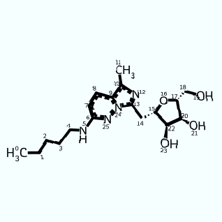 CCCCCNc1ccc2c(C)nc(C[C@@H]3O[C@H](CO)[C@@H](O)[C@H]3O)n2n1